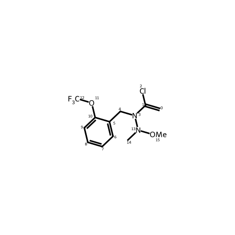 C=C(Cl)N(Cc1ccccc1OC(F)(F)F)N(C)OC